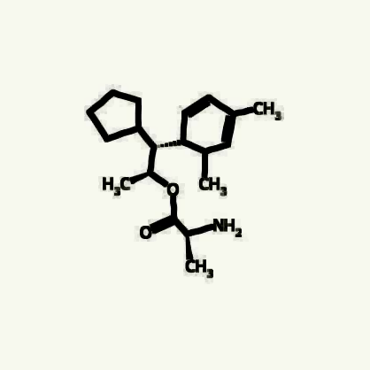 CC1=CC(C)C([C@@H](C2CCCC2)[C@H](C)OC(=O)[C@H](C)N)C=C1